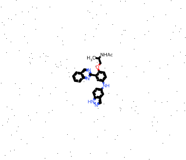 CC(=O)NC(C)COc1ccc(Nc2ccc3[nH]ncc3c2)cc1-c1ncc2ccccc2n1